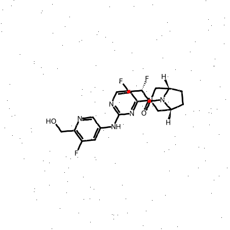 O=C([C@@H](F)CF)N1[C@@H]2CC[C@H]1CN(c1ccnc(Nc3cnc(CO)c(F)c3)n1)C2